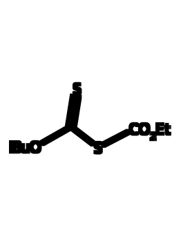 CCOC(=O)SC(=S)OCC(C)C